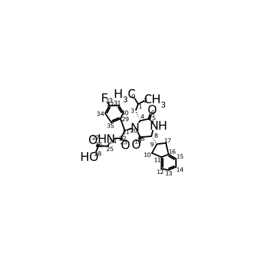 CC(C)C[C@@H]1C(=O)N[C@H](C2Cc3ccccc3C2)C(=O)N1[C@@H](C(=O)NCC(=O)O)c1ccc(F)cc1